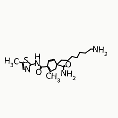 CC1=C(C(=O)Nc2ncc(C)s2)C=CC(CCCCCCCN)(C(N)=O)C1